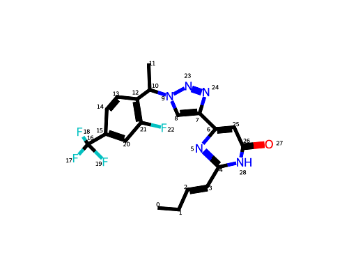 CCC=Cc1nc(-c2cn(C(C)c3ccc(C(F)(F)F)cc3F)nn2)cc(=O)[nH]1